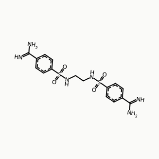 N=C(N)c1ccc(S(=O)(=O)NCCNS(=O)(=O)c2ccc(C(=N)N)cc2)cc1